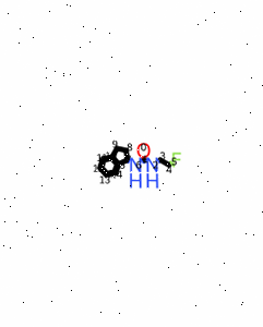 O=C(NCCF)NC1CCc2ccccc21